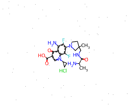 CC(N)C(=O)NCC1(C)CCN(c2c(F)c(N)c3c(=O)c(C(=O)O)cn(C4CC4)c3c2F)C1.Cl